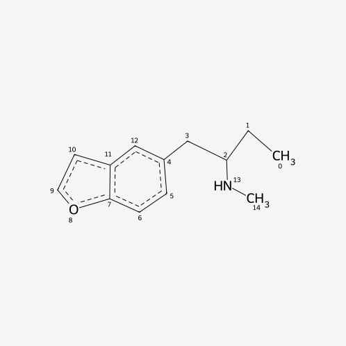 CCC(Cc1ccc2occc2c1)NC